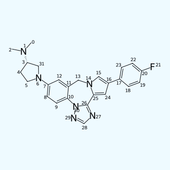 CN(C)[C@H]1CCN(c2ccc3c(c2)Cn2cc(-c4ccc(F)cc4)cc2-c2ncnn2-3)C1